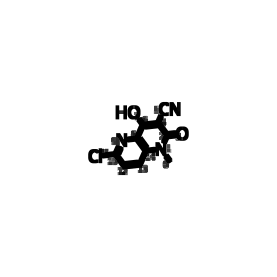 Cn1c(=O)c(C#N)c(O)c2nc(Cl)ccc21